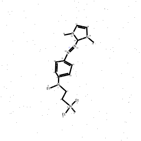 CCN(CC[N+](C)(CC)CC)c1ccc(/N=N/C2N(C)C=CN2C)cc1